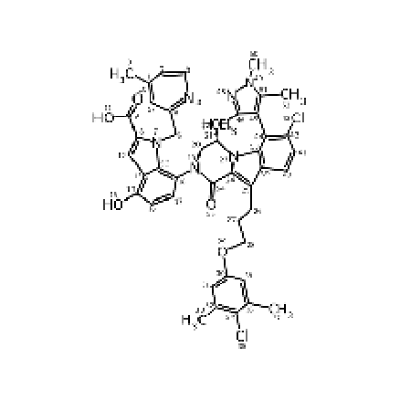 Cc1ccnc(Cn2c(C(=O)O)cc3c(O)ccc(N4C[C@@H](C)n5c(c(CCCOc6cc(C)c(Cl)c(C)c6)c6ccc(Cl)c(-c7c(C)nn(C)c7C)c65)C4=O)c32)c1